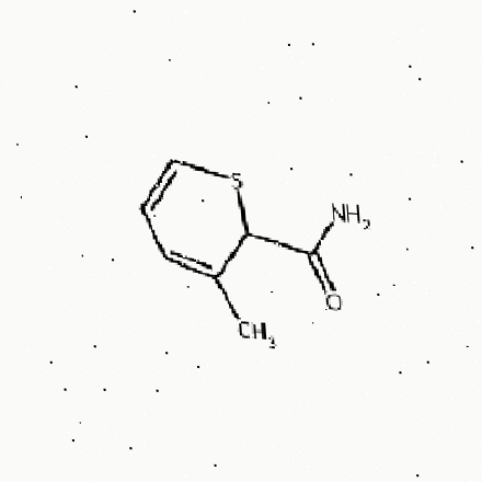 CC1=CC=CSC1C(N)=O